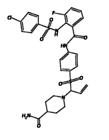 C=CC(N1CCC(C(N)=O)CC1)S(=O)(=O)c1ccc(NC(=O)c2cccc(F)c2NS(=O)(=O)c2ccc(Cl)cc2)cc1